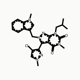 CC(C)Cn1c(=O)n(C)c(=O)c2c(-c3nn(C)cc3Cl)n(Cc3cn(C)c4ccccc34)nc21